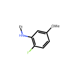 CCNc1cc(OC)ccc1F